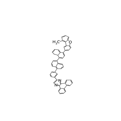 Cc1cccc2oc3ccc(C4=CC=C(c5cccc6c(-c7cccc(-c8cnc9c%10ccccc%10c%10ccccc%10c9n8)c7)cccc56)C5CC=CC=C45)cc3c12